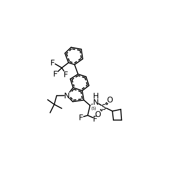 CC(C)(C)Cn1cc([C@H](NS(=O)(=O)C2CCC2)C(F)F)c2ccc(-c3ccccc3C(F)(F)F)cc21